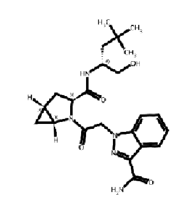 CC(C)(C)C[C@H](CO)NC(=O)[C@@H]1C[C@H]2C[C@H]2N1C(=O)Cn1nc(C(N)=O)c2ccccc21